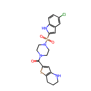 O=C(c1cc2c(s1)CCCN2)N1CCN(S(=O)(=O)c2cc3cc(Cl)ccc3[nH]2)CC1